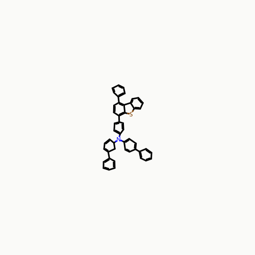 C1=CC(N(c2ccc(-c3ccccc3)cc2)c2ccc(-c3ccc(-c4ccccc4)c4c3sc3ccccc34)cc2)CC(c2ccccc2)=C1